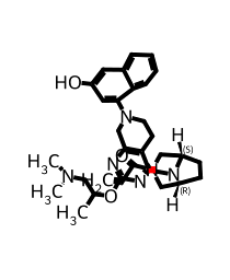 C=CC(=O)N1C[C@H]2CC[C@@H](C1)N2c1nc(OC(C)CN(C)C)nc2c1CCN(c1cc(O)cc3ccccc13)C2